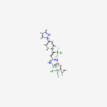 FC(F)(F)C(=Cc1nc(CC2(C(F)(F)F)CC2)c[nH]1)c1ccc(-n2cccn2)cc1